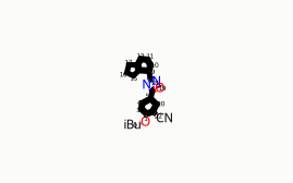 CCC(C)Oc1ccc(-c2nc(-c3cccc4c3CCC4)no2)cc1C#N